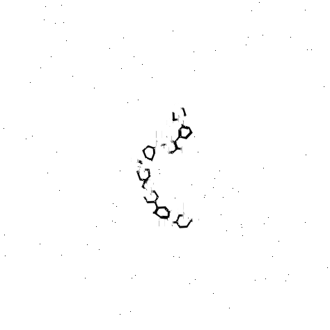 O=C1CCC(Nc2ccc(C3CCN(CC4(O)CCN(C(=O)[C@H]5CC[C@H](Nc6ncc(F)c(-c7cccc(N8CCOCC8=O)c7)n6)CC5)CC4)CC3)c(F)c2)C(=O)N1